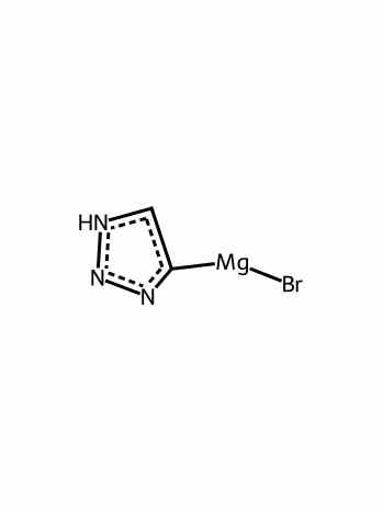 [Br][Mg][c]1c[nH]nn1